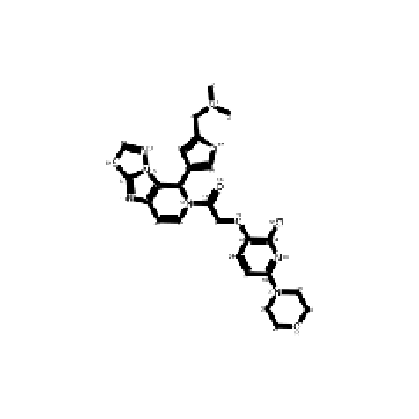 CN(C)Cc1cc(C2c3c(nc4scnn34)C=CN2C(=O)COc2ccc(N3CCOCC3)nc2Cl)cs1